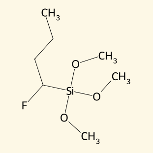 CCCC(F)[Si](OC)(OC)OC